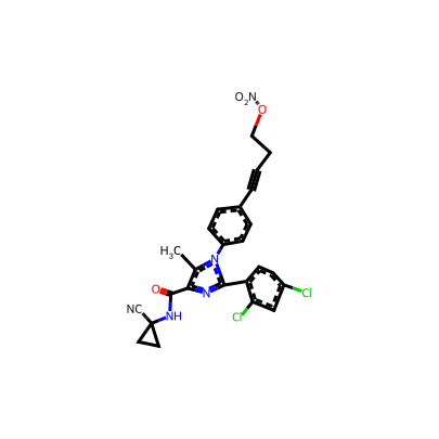 Cc1c(C(=O)NC2(C#N)CC2)nc(-c2ccc(Cl)cc2Cl)n1-c1ccc(C#CCCO[N+](=O)[O-])cc1